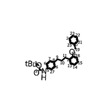 CC(C)(C)OC(=O)Nc1ccc(CCCc2ccccc2OCc2ccccc2)cc1